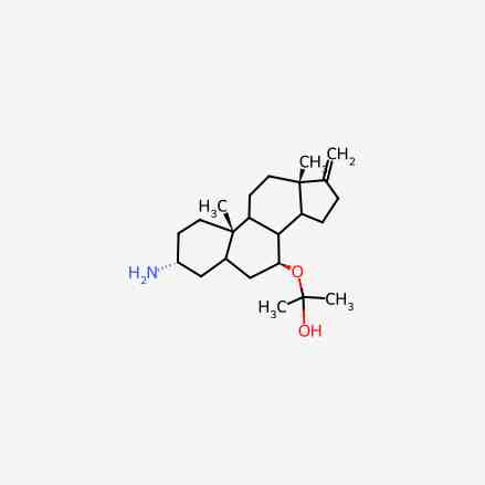 C=C1CCC2C3C(CC[C@]12C)[C@@]1(C)CC[C@@H](N)CC1C[C@@H]3OC(C)(C)O